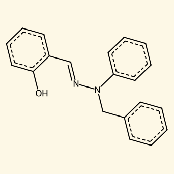 Oc1ccccc1C=NN(Cc1ccccc1)c1ccccc1